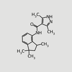 Cc1n[nH]c(C)c1C(=O)Nc1cccc2c1C(C)CC2(C)C